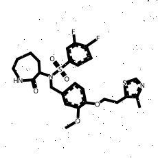 COc1cc(CN(C2CCCCNC2=O)S(=O)(=O)c2ccc(F)c(F)c2)ccc1OCCc1scnc1C